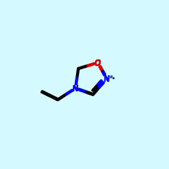 CCN1C=[N+]OC1